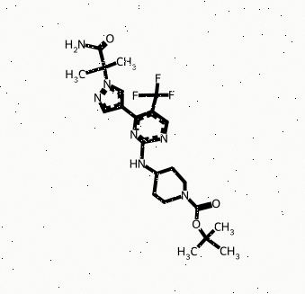 CC(C)(C)OC(=O)N1CCC(Nc2ncc(C(F)(F)F)c(-c3cnn(C(C)(C)C(N)=O)c3)n2)CC1